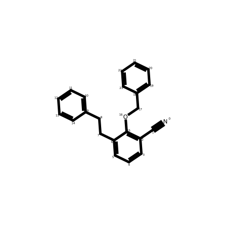 N#Cc1cccc(CCc2ccccc2)c1OCc1ccccc1